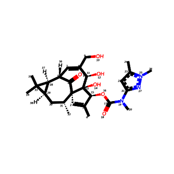 CC1=C[C@]23C(=O)[C@@H](C=C(CO)[C@@H](O)[C@]2(O)[C@H]1OC(=O)N(C)c1cc(C)n(C)n1)[C@H]1[C@@H](C[C@H]3C)C1(C)C